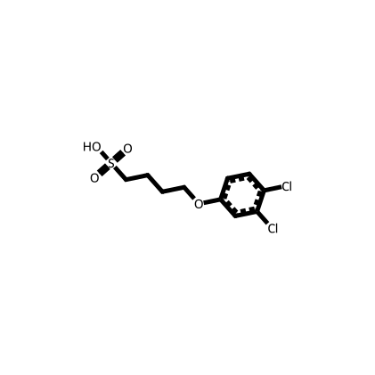 O=S(=O)(O)CCCCOc1ccc(Cl)c(Cl)c1